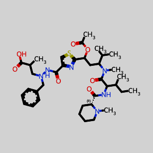 CCC(C)C(NC(=O)[C@H]1CCCCN1C)C(=O)N(C)C(CC(OC(C)=O)c1nc(C(=O)NN(Cc2ccccc2)CC(C)C(=O)O)cs1)C(C)C